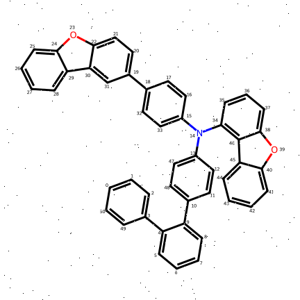 c1ccc(-c2ccccc2-c2ccc(N(c3ccc(-c4ccc5oc6ccccc6c5c4)cc3)c3cccc4oc5ccccc5c34)cc2)cc1